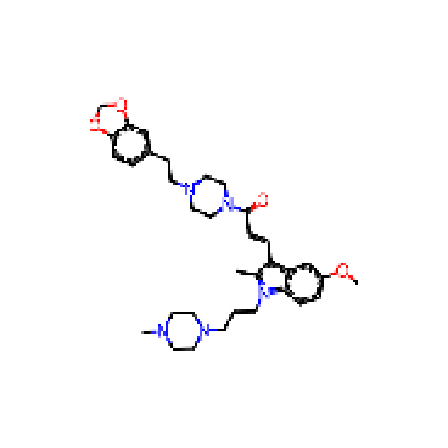 COc1ccc2c(c1)c(C=CC(=O)N1CCN(CCc3ccc4c(c3)OCO4)CC1)c(C)n2CCCN1CCN(C)CC1